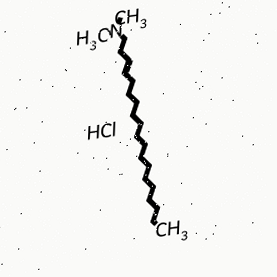 CCCCCCCCCCCCCCCC=CCCN(C)C.Cl